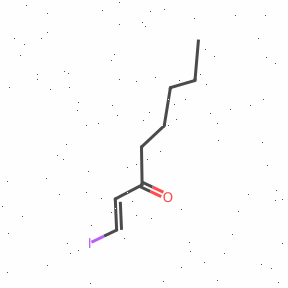 CCCCCC(=O)C=CI